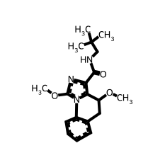 COc1nc(C(=O)NCC(C)(C)C)c2n1-c1ccccc1CC2OC